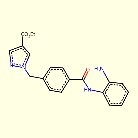 CCOC(=O)c1cnn(Cc2ccc(C(=O)Nc3ccccc3N)cc2)c1